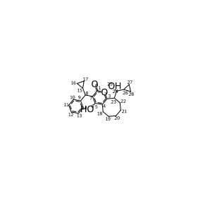 O=c1oc2c(c(O)c1C(c1ccccc1)C1CC1)CCCCCC2C(O)C1CC1